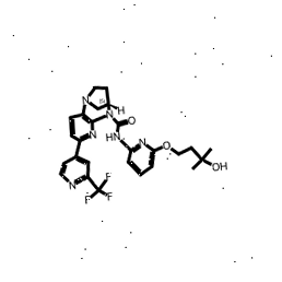 CC(C)(O)CCOc1cccc(NC(=O)N2c3nc(-c4ccnc(C(F)(F)F)c4)ccc3N3CC[C@H]2C3)n1